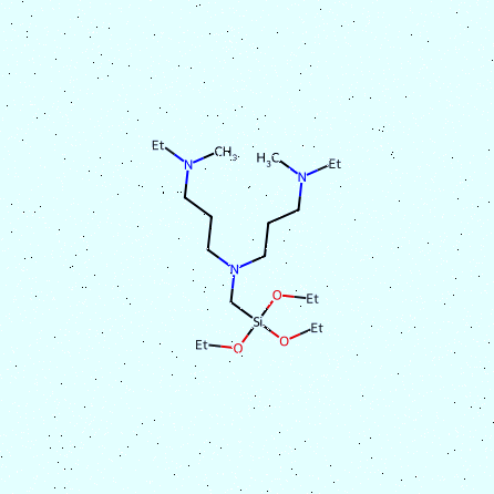 CCO[Si](CN(CCCN(C)CC)CCCN(C)CC)(OCC)OCC